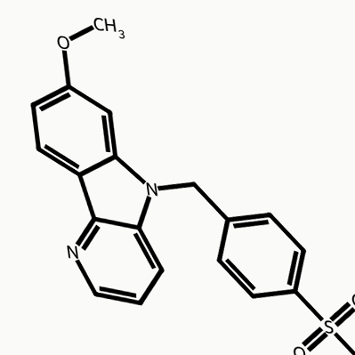 COc1ccc2c3ncccc3n(Cc3ccc(S(N)(=O)=O)cc3)c2c1